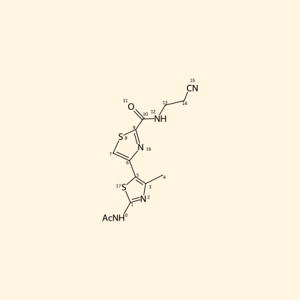 CC(=O)Nc1nc(C)c(-c2csc(C(=O)NCCC#N)n2)s1